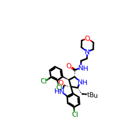 CC(C)(C)C[C@H]1N[C@@H](C(=O)NCCN2CCOCC2)[C@H](c2cccc(Cl)c2Cl)[C@@]12C(=O)Nc1cc(Cl)ccc12